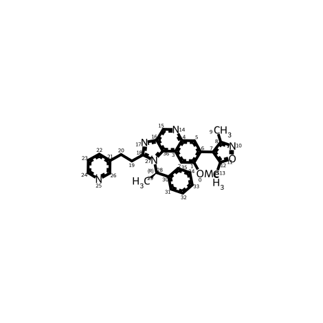 COc1cc2c(cc1-c1c(C)noc1C)ncc1nc(CCc3cccnc3)n([C@H](C)c3ccccc3)c12